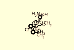 COCCCC[C@@](O)(c1cccc(Cl)c1-c1cccc(C(C)C)c1)C1CN(C(=O)[C@H]2C[C@@H](N)[C@@H](O)C2)CCO1